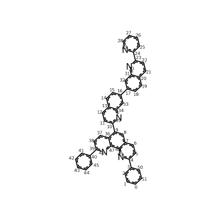 c1ccc(-c2ccc3cc(-c4ccc5ccc(-c6ccc7ccc(-c8ccccn8)nc7c6)cc5n4)c4ccc(-c5ccccc5)nc4c3n2)cc1